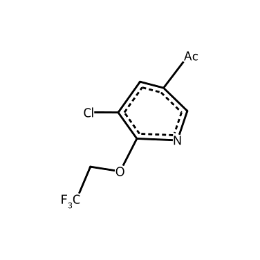 CC(=O)c1cnc(OCC(F)(F)F)c(Cl)c1